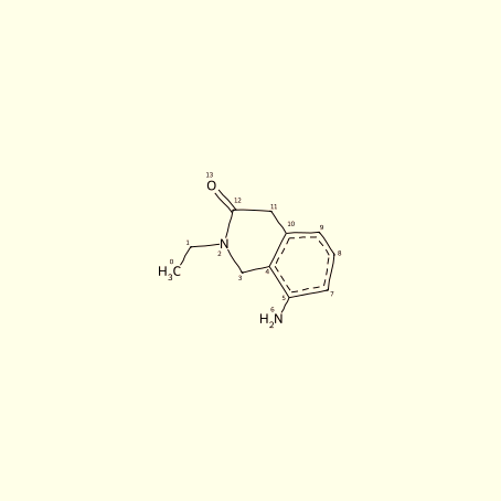 CCN1Cc2c(N)cccc2CC1=O